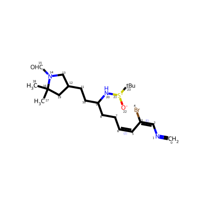 C=N/C=C(Br)\C=C/CCC(CCC1CN(C=O)C(C)(C)C1)N[S+]([O-])C(C)(C)C